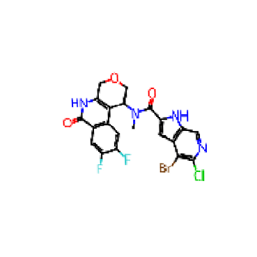 CN(C(=O)c1cc2c(Br)c(Cl)ncc2[nH]1)C1COCc2[nH]c(=O)c3cc(F)c(F)cc3c21